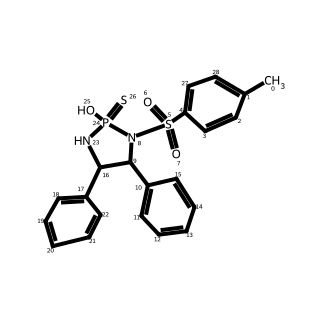 Cc1ccc(S(=O)(=O)N2C(c3ccccc3)C(c3ccccc3)NP2(O)=S)cc1